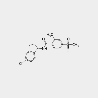 Cc1cc(S(C)(=O)=O)ccc1C(=O)NC1CCc2cc(Cl)ccc21